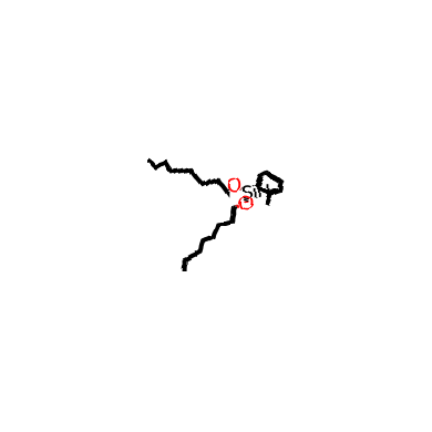 CCCCCCCCO[SiH](OCCCCCCCC)c1ccccc1C